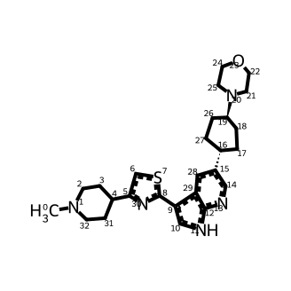 CN1CCC(c2csc(-c3c[nH]c4ncc([C@H]5CC[C@H](N6CCOCC6)CC5)cc34)n2)CC1